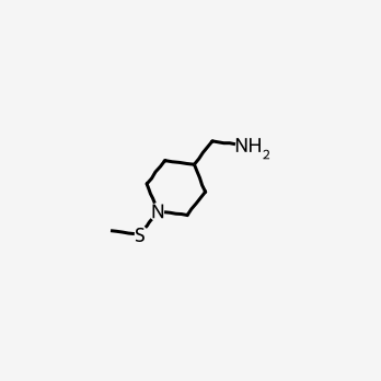 CSN1CCC(CN)CC1